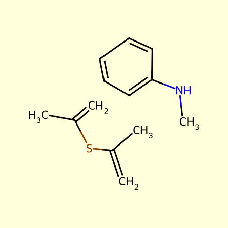 C=C(C)SC(=C)C.CNc1ccccc1